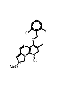 CCN1CC(C)=C(OCc2c(F)cccc2Cl)C2=C1N1CN(OC)C=C1C=N2